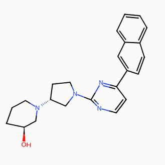 O[C@H]1CCCN([C@@H]2CCN(c3nccc(-c4ccc5ccccc5c4)n3)C2)C1